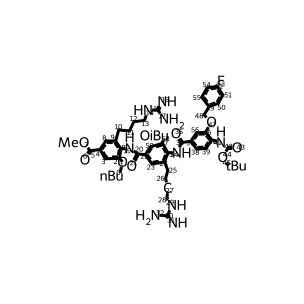 CCCCOc1cc(C(=O)OC)cc(CCCCNC(=N)N)c1NC(=O)c1cc(CCCCNC(=N)N)c(NC(=O)c2ccc(NC(=O)OC(C)(C)C)c(OCc3ccc(F)cc3)c2)c(OCC(C)C)c1